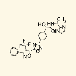 CC(NC(=O)C(O)c1ccc(-c2noc(-c3onc(-c4ccccc4)c3C(F)(F)F)n2)cc1)c1ncc[nH]1